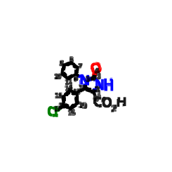 O=C(O)c1[nH]c(=O)n(-c2ccccc2)c1-c1ccc(Cl)cc1